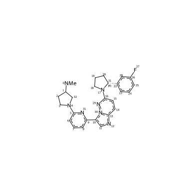 CNC1CCN(c2cccc(-c3cnc4ccc(N5CCC[C@@H]5c5cccc(F)c5)nn34)n2)C1